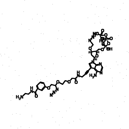 [N-]=[N+]=NCO[C@@H]1C[C@H](n2cc(C#CCNC(=O)COCCOC(COc3cccc(C(=O)NCCN)c3)N=[N+]=[N-])c3c(N)ncnc32)O[C@@H]1COP(=O)(O)OP(=O)(O)OP(=O)(O)O